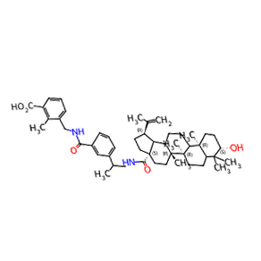 C=C(C)[C@@H]1CC[C@]2(C(=O)NCC(C)c3cccc(C(=O)NCc4cccc(C(=O)O)c4C)c3)CC[C@]3(C)C(CCC4[C@@]5(C)CC[C@H](O)C(C)(C)C5CC[C@]43C)C12